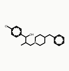 CC(CN1CCC(Cc2ccccc2)CC1)C(O)c1ccc(Cl)cc1